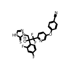 N#Cc1ccc(Oc2ccc(C(F)(F)C(O)(Cn3nc[nH]c3=S)c3ccc(F)cc3F)nc2)cc1